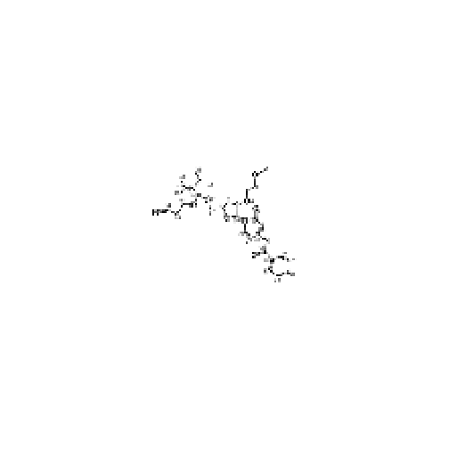 COCCO[C@@H]1C[C@@H](COP(OCCC#N)N(C(C)C)C(C)C)O[C@H]1n1ccc(NC(=O)c2ccccc2)nc1=O